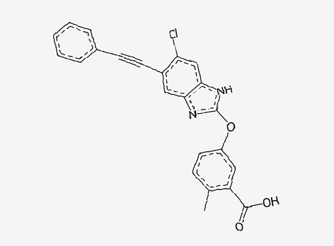 Cc1ccc(Oc2nc3cc(C#Cc4ccccc4)c(Cl)cc3[nH]2)cc1C(=O)O